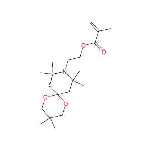 C=C(C)C(=O)OCCN1C(C)(C)CC2(CC1(C)C)OCC(C)(C)CO2